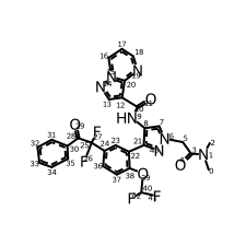 CN(C)C(=O)Cn1cc(NC(=O)c2cnn3cccnc23)c(-c2cc(C(F)(F)C(=O)c3ccccc3)ccc2OC(F)F)n1